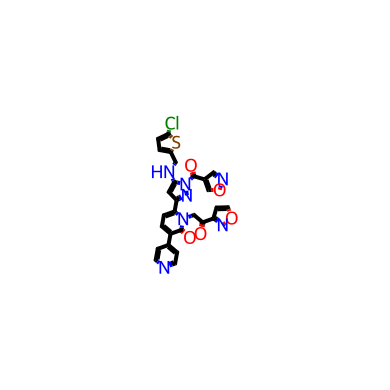 O=C(Cn1c(-c2cc(NCc3ccc(Cl)s3)n(C(=O)c3cnoc3)n2)ccc(-c2ccncc2)c1=O)c1ccon1